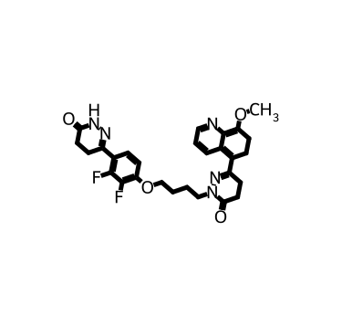 COC1=c2ncccc2=C(C2=NN(CCCCOc3ccc(C4=NNC(=O)CC4)c(F)c3F)C(=O)CC2)CC1